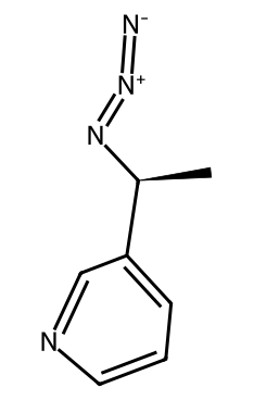 C[C@H](N=[N+]=[N-])c1cccnc1